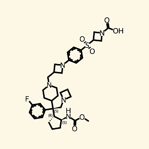 COC(=O)N[C@H]1CCC[C@@H]1[C@](CN1CCC1)(c1cccc(F)c1)C1CCN(CC2CN(c3ccc(S(=O)(=O)C4CN(C(=O)O)C4)cc3)C2)CC1